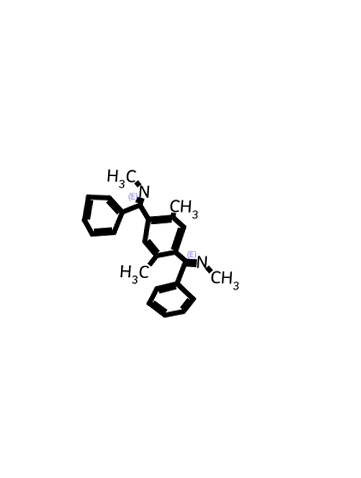 C/N=C(\c1ccccc1)c1cc(C)c(/C(=N/C)c2ccccc2)cc1C